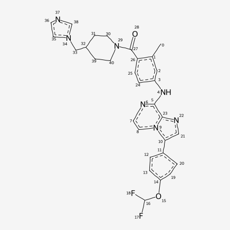 Cc1cc(Nc2nccn3c(-c4ccc(OC(F)F)cc4)cnc23)ccc1C(=O)N1CCC(Cn2ccnc2)CC1